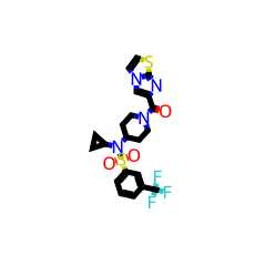 O=C(c1cn2ccsc2n1)N1CCC(N(C2CC2)S(=O)(=O)c2cccc(C(F)(F)F)c2)CC1